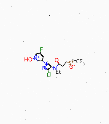 CCN(C(=O)CC[S+]([O-])CC(F)(F)F)c1cn(-c2cc(F)c[n+](O)c2)nc1Cl